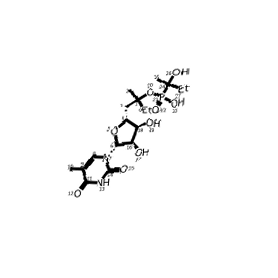 CCC(C)(C[C@H]1O[C@@H](n2cc(C)c(=O)[nH]c2=O)[C@H](O)[C@@H]1O)OP(=O)(O)C(C)(O)CC